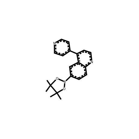 CC1(C)OB(c2ccc3nccc(-c4ccncc4)c3c2)OC1(C)C